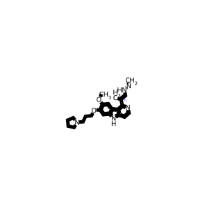 C=NN/C=C(\C)c1nccc2[nH]c3cc(OCCCN4CCCC4)c(OC)cc3c12